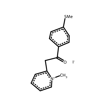 CSc1ccc(C(=O)Cc2cccc[n+]2C)cc1.[I-]